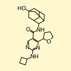 O=C(NC1C2CC3CC1CC(O)(C3)C2)c1cnc(NC2CCC2)nc1C1CCCO1